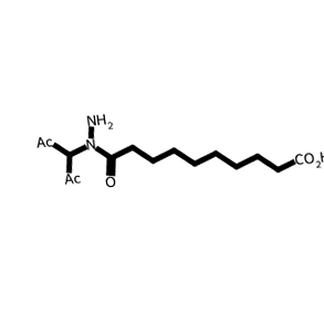 CC(=O)C(C(C)=O)N(N)C(=O)CCCCCCCCC(=O)O